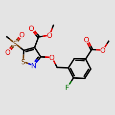 COC(=O)c1ccc(F)c(COc2nsc(S(C)(=O)=O)c2C(=O)OC)c1